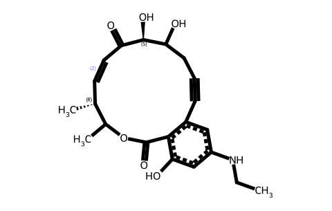 CCNc1cc(O)c2c(c1)C#CCC(O)[C@H](O)C(=O)/C=C\[C@@H](C)C(C)OC2=O